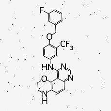 Fc1cccc(COc2ccc(Nc3ncnc4ccc5c(c34)OCCN5)cc2C(F)(F)F)c1